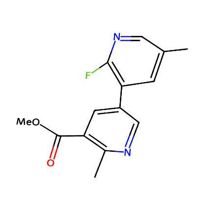 COC(=O)c1cc(-c2cc(C)cnc2F)cnc1C